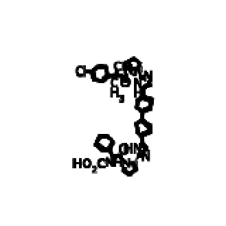 CC(C)(C(=O)N1CCC[C@H]1c1ncc(-c2ccc(-c3ccc(-c4cnc([C@@H]5CCCN5C(=O)[C@H](NC(=O)O)c5ccccc5)[nH]4)cc3)cc2)[nH]1)c1ccc(Cl)cc1